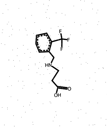 O=C(O)CCNCc1ccccc1C(F)(F)F